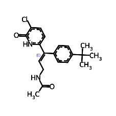 CC(=O)NC/C=C(\c1ccc(C(C)(C)C)cc1)c1ccc(Cl)c(=O)[nH]1